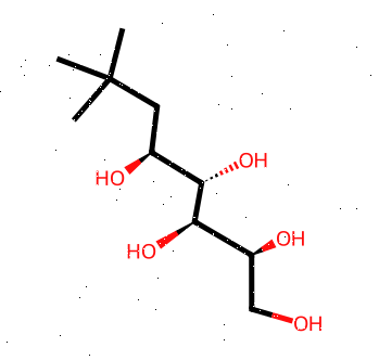 CC(C)(C)C[C@H](O)[C@H](O)[C@H](O)[C@@H](O)CO